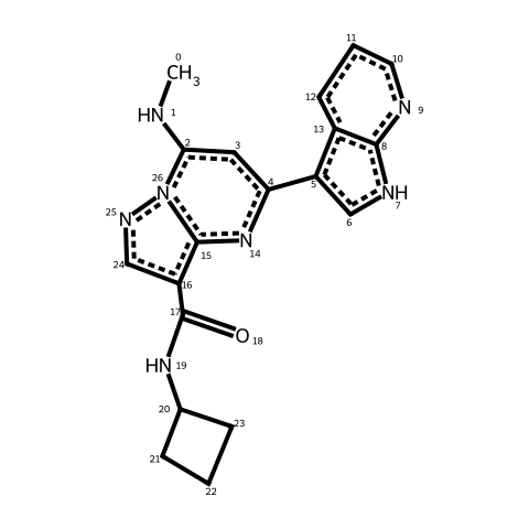 CNc1cc(-c2c[nH]c3ncccc23)nc2c(C(=O)NC3CCC3)cnn12